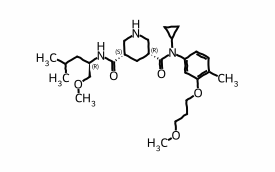 COCCCOc1cc(N(C(=O)[C@H]2CNC[C@@H](C(=O)N[C@@H](COC)CC(C)C)C2)C2CC2)ccc1C